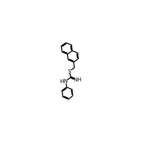 N=C(Nc1ccccc1)SCc1ccc2ccccc2c1